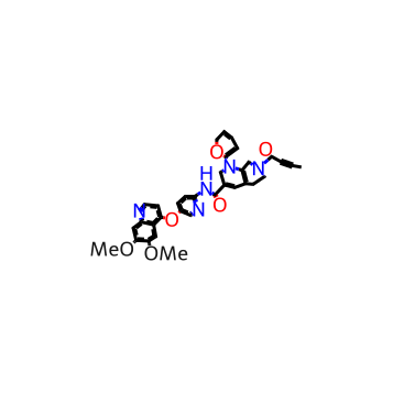 CC#CC(=O)N1CCC2=C(C1)N(C1=CC=CCO1)CC(C(=O)Nc1ccc(Oc3ccnc4cc(OC)c(OC)cc34)cn1)=C2